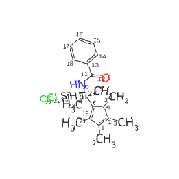 CC1=C(C)C(C)[C]([Ti+2]([CH3])([CH3])[NH]C(=O)c2ccccc2)=C1C.[Cl-].[Cl-].[SiH4]